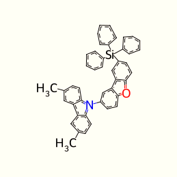 Cc1ccc2c(c1)c1cc(C)ccc1n2-c1ccc2oc3ccc([Si](c4ccccc4)(c4ccccc4)c4ccccc4)cc3c2c1